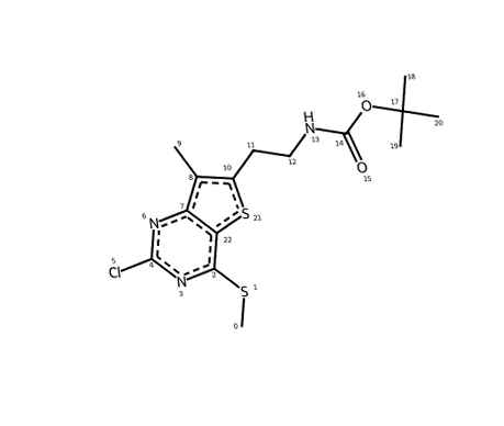 CSc1nc(Cl)nc2c(C)c(CCNC(=O)OC(C)(C)C)sc12